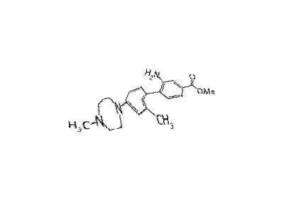 COC(=O)c1ccc(-c2ccc(N3CCN(C)CC3)cc2C)c(N)c1